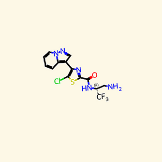 NC[C@@H](NC(=O)c1nc(-c2cnn3ccccc23)c(Cl)s1)C(F)(F)F